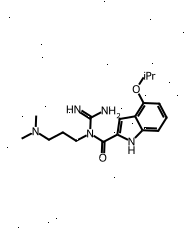 CC(C)Oc1cccc2[nH]c(C(=O)N(CCCN(C)C)C(=N)N)cc12